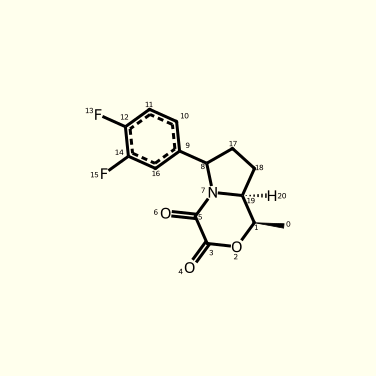 C[C@H]1OC(=O)C(=O)N2C(c3ccc(F)c(F)c3)CC[C@@H]12